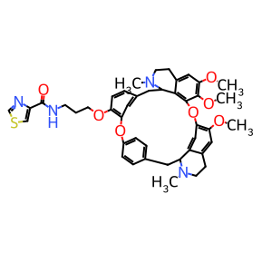 COc1cc2c3cc1Oc1c(OC)c(OC)cc4c1C(Cc1ccc(OCCCNC(=O)c5cscn5)c(c1)Oc1ccc(cc1)CC3N(C)CC2)N(C)CC4